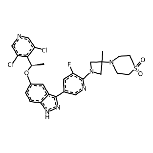 C[C@@H](Oc1ccc2[nH]nc(-c3cnc(N4CC(C)(N5CCS(=O)(=O)CC5)C4)c(F)c3)c2c1)c1c(Cl)cncc1Cl